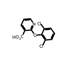 O=C(O)c1cccnc1Oc1c(Cl)cccc1Cl